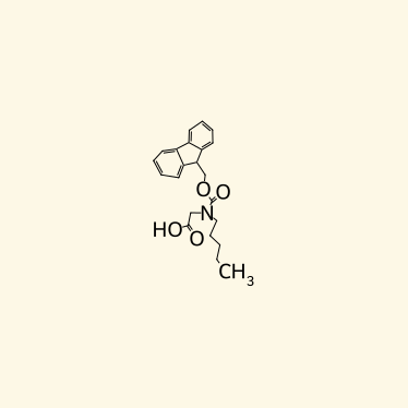 CCCCCN(CC(=O)O)C(=O)OCC1c2ccccc2-c2ccccc21